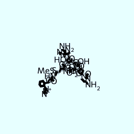 CSS[C@H](CC[C@@H](N)C(=O)O[C@H]1[C@@H](O)[C@@H](n2cnc3c(N)ncnc32)O[C@H]1COP(=O)(O)O[C@H]1C[C@H](n2ccc(N)nc2=O)O[C@@H]1COP(=O)(O)O)CNC(=O)OCc1ccccc1N=[N+]=[N-]